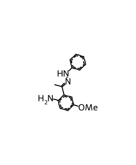 COc1ccc(N)c(/C(C)=N/Nc2ccccc2)c1